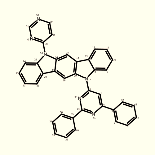 c1ccc(-c2cc(-n3c4ccccc4c4cc5c(cc43)c3ccccc3n5-c3ccncn3)nc(-c3ccccc3)n2)cc1